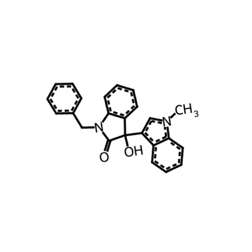 Cn1cc(C2(O)C(=O)N(Cc3ccccc3)c3ccccc32)c2ccccc21